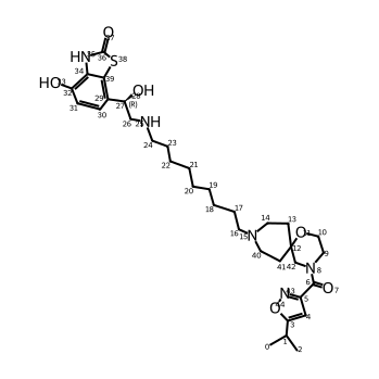 CC(C)c1cc(C(=O)N2CCOC3(CCN(CCCCCCCCCNC[C@H](O)c4ccc(O)c5[nH]c(=O)sc45)CC3)C2)no1